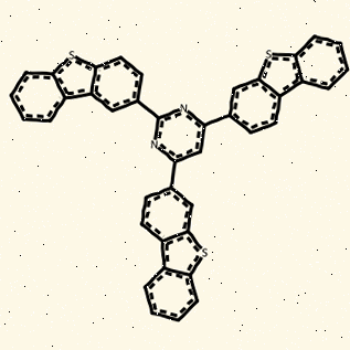 c1ccc2c(c1)sc1cc(-c3cc(-c4ccc5c(c4)sc4ccccc45)nc(-c4ccc5sc6ccccc6c5c4)n3)ccc12